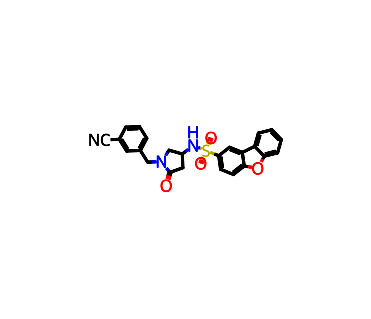 N#Cc1cccc(CN2CC(NS(=O)(=O)c3ccc4oc5ccccc5c4c3)CC2=O)c1